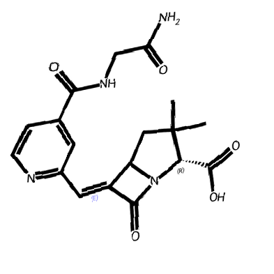 CC1(C)CC2/C(=C\c3cc(C(=O)NCC(N)=O)ccn3)C(=O)N2[C@H]1C(=O)O